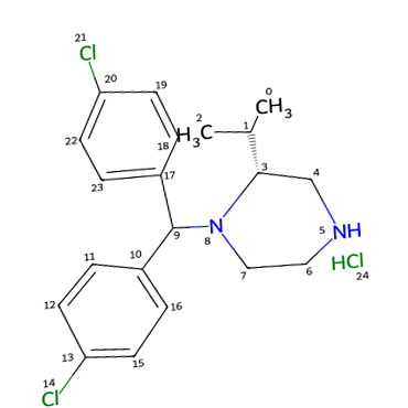 CC(C)[C@@H]1CNCCN1C(c1ccc(Cl)cc1)c1ccc(Cl)cc1.Cl